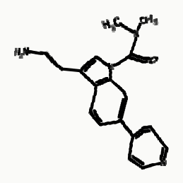 CN(C)C(=O)n1cc(CCN)c2ccc(-c3ccncc3)cc21